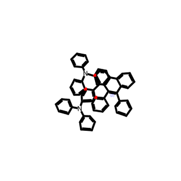 c1ccc(/C(=C(\c2ccccc2)c2ccccc2-c2ccc(N(c3ccccc3)c3ccccc3)cc2)c2ccccc2-c2ccc(N(c3ccccc3)c3ccccc3)cc2)cc1